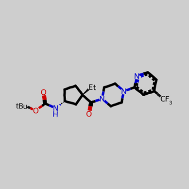 CC[C@]1(C(=O)N2CCN(c3cc(C(F)(F)F)ccn3)CC2)CC[C@@H](NC(=O)OC(C)(C)C)C1